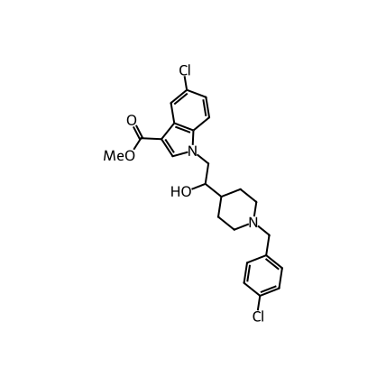 COC(=O)c1cn(CC(O)C2CCN(Cc3ccc(Cl)cc3)CC2)c2ccc(Cl)cc12